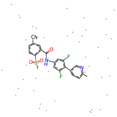 Cc1ccc(-c2c(F)cc(NC(=O)c3cc(C#N)ccc3S(C)(=O)=O)cc2F)cn1